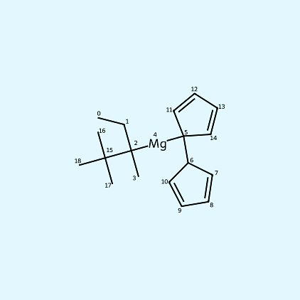 CC[C](C)([Mg][C]1(C2C=CC=C2)C=CC=C1)C(C)(C)C